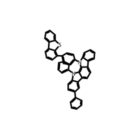 c1ccc(-c2ccc3c(c2)c2ccc4c5ccccc5n(-c5ccc(-c6cccc7c6sc6ccccc67)cc5)c4c2n3-c2ccccc2)cc1